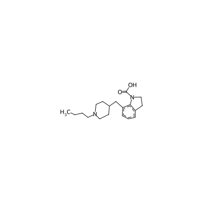 CCCCN1CCC(Cc2cccc3c2N(C(=O)O)CC3)CC1